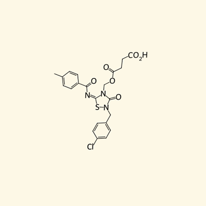 Cc1ccc(C(=O)/N=c2/sn(Cc3ccc(Cl)cc3)c(=O)n2COC(=O)CCC(=O)O)cc1